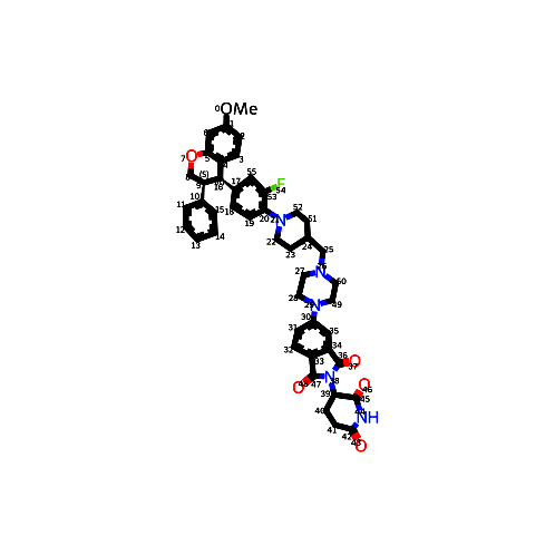 COc1ccc2c(c1)OC[C@H](c1ccccc1)[C@@H]2c1ccc(N2CCC(CN3CCN(c4ccc5c(c4)C(=O)N(C4CCC(=O)NC4=O)C5=O)CC3)CC2)c(F)c1